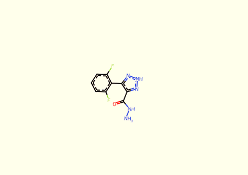 NNC(=O)c1n[nH]nc1-c1c(F)cccc1F